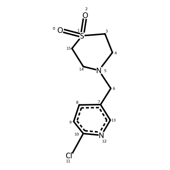 O=S1(=O)CCN(Cc2ccc(Cl)nc2)CC1